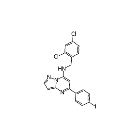 Clc1ccc(CNc2cc(-c3ccc(I)cc3)nc3ccnn23)c(Cl)c1